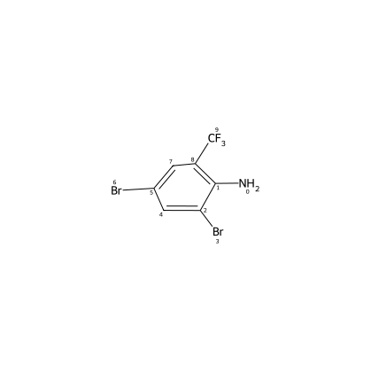 Nc1c(Br)cc(Br)cc1C(F)(F)F